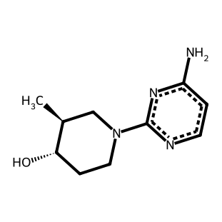 C[C@H]1CN(c2nccc(N)n2)CC[C@@H]1O